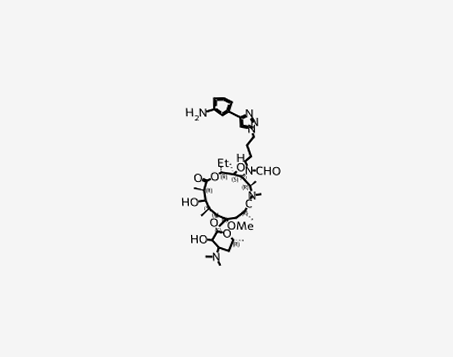 CC[C@H]1OC(=O)[C@H](C)C(O)[C@H](C)[C@@H](O[C@@H]2O[C@H](C)CC(N(C)C)C2O)[C@](C)(OC)C[C@@H](C)CN(C)[C@H](C)[C@@H](N(C=O)CCCCn2cc(-c3cccc(N)c3)nn2)[C@]1(C)O